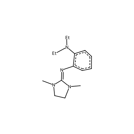 CCN(CC)c1ccccc1N=C1N(C)CCN1C